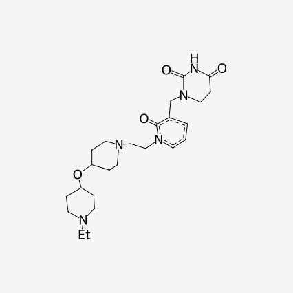 CCN1CCC(OC2CCN(CCn3cccc(CN4CCC(=O)NC4=O)c3=O)CC2)CC1